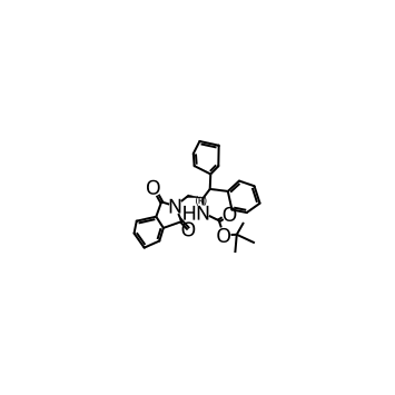 CC(C)(C)OC(=O)N[C@@H](CN1C(=O)c2ccccc2C1=O)C(c1ccccc1)c1ccccc1